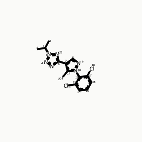 CC(C)n1nnc(-c2cnn(-c3c(Cl)cccc3Cl)c2I)n1